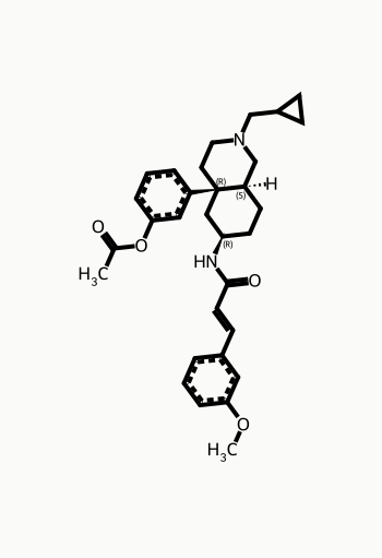 COc1cccc(C=CC(=O)N[C@@H]2CC[C@@H]3CN(CC4CC4)CC[C@@]3(c3cccc(OC(C)=O)c3)C2)c1